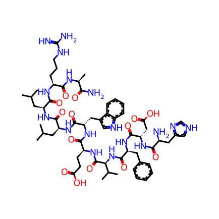 CC(C)C[C@H](NC(=O)[C@H](CC(C)C)NC(=O)[C@H](Cc1c[nH]c2ccccc12)NC(=O)[C@H](CCC(=O)O)NC(=O)[C@@H](NC(=O)[C@H](Cc1ccccc1)NC(=O)[C@H](CC(=O)O)NC(=O)[C@@H](N)Cc1c[nH]cn1)C(C)C)C(=O)N[C@@H](CCCNC(=N)N)C(=O)N[C@@H](C)C(N)=O